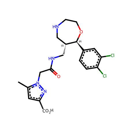 Cc1cc(C(=O)O)nn1CC(=O)NC[C@@H]1CNCCO[C@H]1c1ccc(Cl)c(Cl)c1